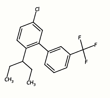 CCC(CC)c1ccc(Cl)cc1-c1cccc(C(F)(F)F)c1